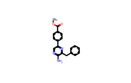 CC(C)(C)OC(=O)c1ccc(-c2cnc(N)c(Cc3ccccc3)n2)cc1